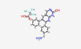 NCc1ccc(-c2nc3nc(O)ncc3cc2-c2ccccc2)cc1.O=C(O)C(F)(F)F